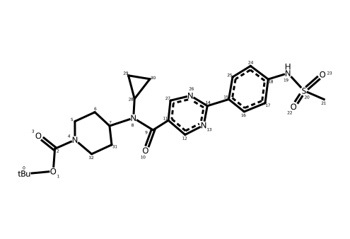 CC(C)(C)OC(=O)N1CCC(N(C(=O)c2cnc(-c3ccc(NS(C)(=O)=O)cc3)nc2)C2CC2)CC1